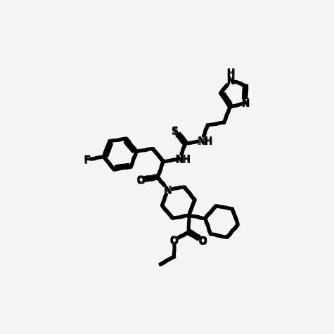 CCOC(=O)C1(C2CCCCC2)CCN(C(=O)C(Cc2ccc(F)cc2)NC(=S)NCCc2c[nH]cn2)CC1